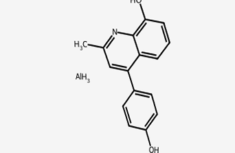 Cc1cc(-c2ccc(O)cc2)c2cccc(O)c2n1.[AlH3]